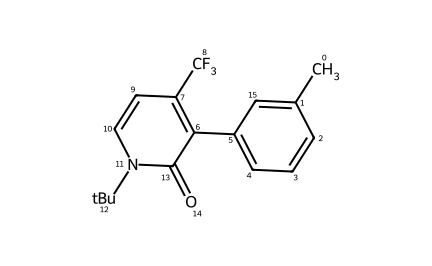 Cc1cccc(-c2c(C(F)(F)F)ccn(C(C)(C)C)c2=O)c1